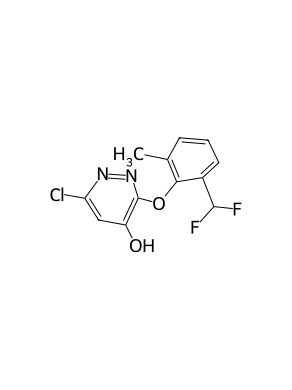 Cc1cccc(C(F)F)c1Oc1nnc(Cl)cc1O